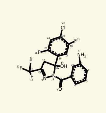 Nc1cccc(C(=O)N2N=C(C(F)(F)F)CC2(O)c2cc(F)c(Cl)cc2F)c1